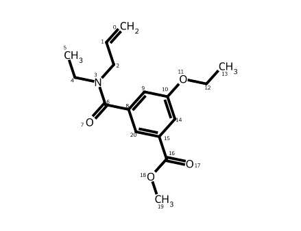 C=CCN(CC)C(=O)c1cc(OCC)cc(C(=O)OC)c1